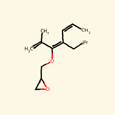 C=C(C)/C(OCC1CO1)=C(\C=C/C)CC(C)C